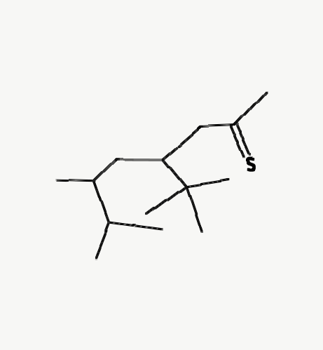 CC(=S)CC(CC(C)C(C)C)C(C)(C)C